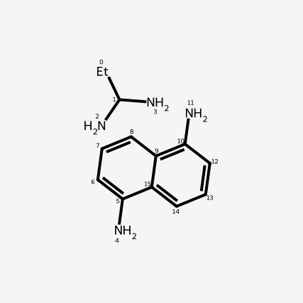 CCC(N)N.Nc1cccc2c(N)cccc12